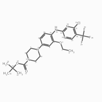 CCOc1cc(N2CCN(C(=O)OC(C)(C)C)CC2)ccc1Nc1ncc(C(F)(F)F)c(Cl)n1